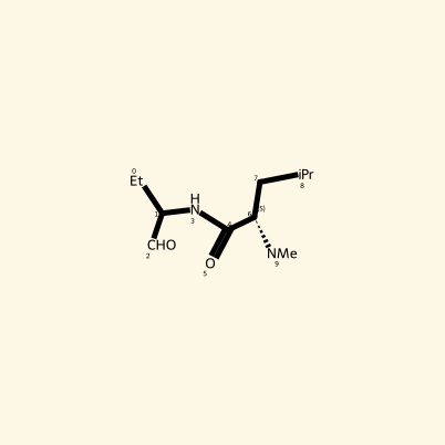 CCC(C=O)NC(=O)[C@H](CC(C)C)NC